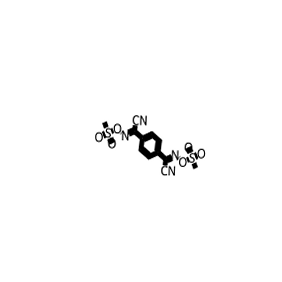 CS(=O)(=O)ON=C(C#N)c1ccc(C(C#N)=NOS(C)(=O)=O)cc1